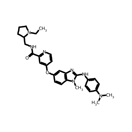 CCN1CCCC1CNC(=O)c1cc(Oc2ccc3c(c2)nc(Nc2ccc(N(C)C)cc2)n3C)ccn1